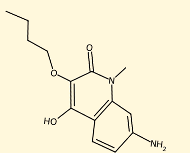 CCCCOc1c(O)c2ccc(N)cc2n(C)c1=O